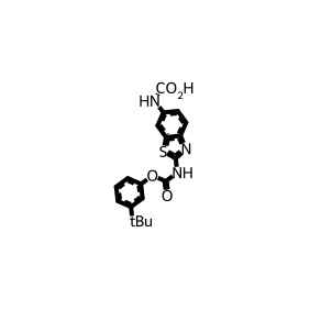 CC(C)(C)c1cccc(OC(=O)Nc2nc3ccc(NC(=O)O)cc3s2)c1